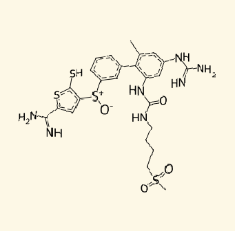 Cc1cc(NC(=N)N)cc(NC(=O)NCCCCS(C)(=O)=O)c1-c1cccc([S+]([O-])c2cc(C(=N)N)sc2S)c1